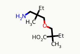 CCC(C)(CN)COCC(C)(CC)C(=O)O